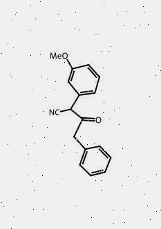 COc1cccc(C(C#N)C(=O)Cc2ccccc2)c1